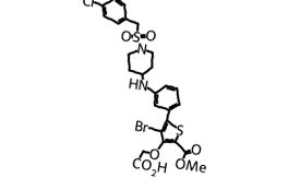 COC(=O)c1sc(-c2cccc(NC3CCN(S(=O)(=O)Cc4ccc(Cl)cc4)CC3)c2)c(Br)c1OCC(=O)O